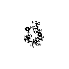 CC(c1cnc2nc(N)nc(O)c2n1)N(C)c1ccc(C(=O)NC(CCC(=O)O)C(=O)O)cc1.O=C(NP(=O)(N1CC1)N1CC1)OCc1ccccc1